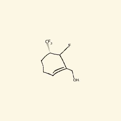 OCC1=CCC[C@H](C(F)(F)F)C1F